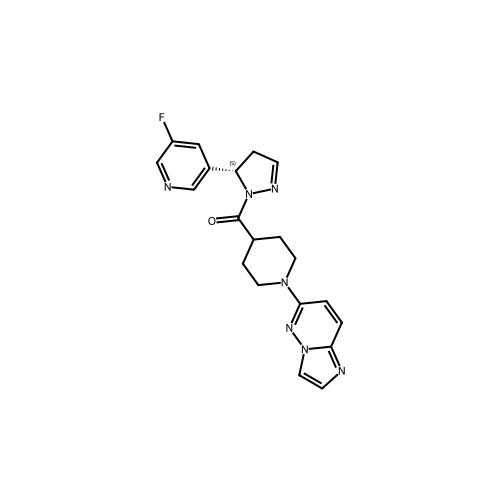 O=C(C1CCN(c2ccc3nccn3n2)CC1)N1N=CC[C@H]1c1cncc(F)c1